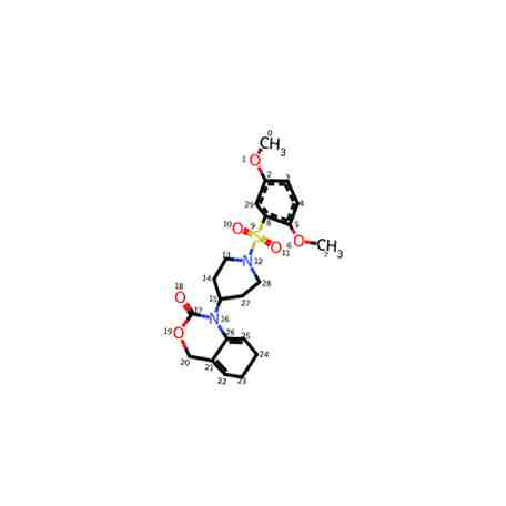 COc1ccc(OC)c(S(=O)(=O)N2CCC(N3C(=O)OCC4=CCCC=C43)CC2)c1